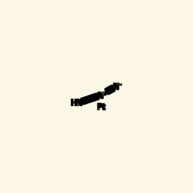 [N-]=[N+]=N.[Pt]